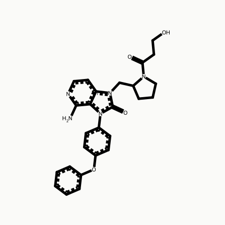 Nc1nccc2c1n(-c1ccc(Oc3ccccc3)cc1)c(=O)n2CC1CCCN1C(=O)CCO